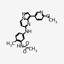 COc1ccc(-c2cnn3ccc(Nc4ccc(C)c(NS(C)(=O)=O)c4)nc23)cn1